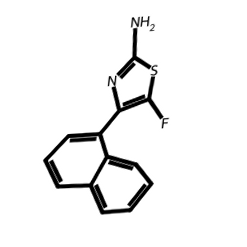 Nc1nc(-c2cccc3ccccc23)c(F)s1